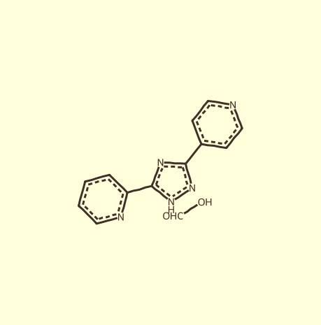 O=CO.c1ccc(-c2nc(-c3ccncc3)n[nH]2)nc1